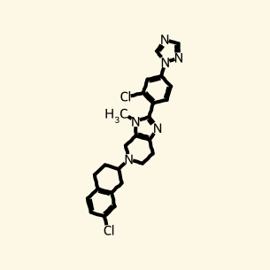 Cn1c(-c2ccc(-n3cncn3)cc2Cl)nc2c1CN(C1CCc3ccc(Cl)cc3C1)CC2